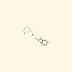 Cc1c([C@H](NC(=O)NC2CCCS(=O)(=O)C2)C(C)C)oc2ccc(F)cc12